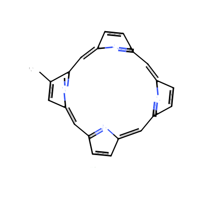 Cl.[Mn][C]1=CC2=CC3=NC(=CC4=NC(=CC5=NC(=CC1=N2)C=C5)C=C4)C=C3